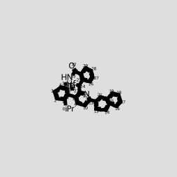 CC(C)c1cccc(C(C)C)c1-c1ccc(-c2ccc3ccccc3c2)nc1[CH]1c2ccccc2C(=O)[NH][Hf]1([CH3])[CH3]